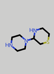 C1CN(C2CSCCN2)CCN1